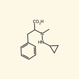 CN(NC1CC1)C(Cc1ccccc1)C(=O)O